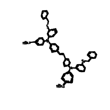 CCCCc1ccc(N(c2ccc(/C=C/c3ccc(N(c4ccc(CCCC)cc4)c4cccc(SCc5ccccc5)c4)cc3)cc2)c2cccc(SCc3ccccc3)c2)cc1